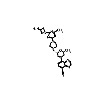 Cc1cc(N2CCN(C[C@H]3CN(c4ccc(C#N)c5nccnc45)C[C@@H](C)O3)CC2)nc(N2CC(N)C2)n1